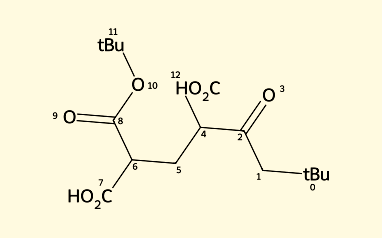 CC(C)(C)CC(=O)C(CC(C(=O)O)C(=O)OC(C)(C)C)C(=O)O